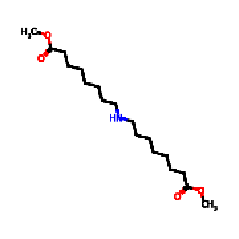 COC(=O)CCCCCCCNCCCCCCCC(=O)OC